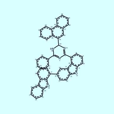 c1ccc(C2=NC(c3cccc4oc5ccc(-c6cccc7c6oc6ccccc67)cc5c34)=NC(c3cc4ccccc4c4ccccc34)N2)cc1